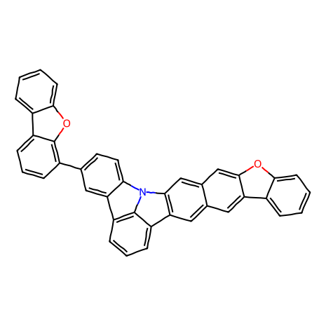 c1ccc2c(c1)oc1cc3cc4c(cc3cc12)c1cccc2c3cc(-c5cccc6c5oc5ccccc56)ccc3n4c21